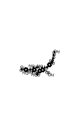 O=[N+]([O-])c1ccc(/N=N/c2c(O)ccc(/N=N\c3cc(S(=O)(=O)O)cc4cc(SOOO)c(/N=N/c5ccc(S(=O)(=O)CCOSOOO)cc5)c(O)c34)c2O)c(O)c1